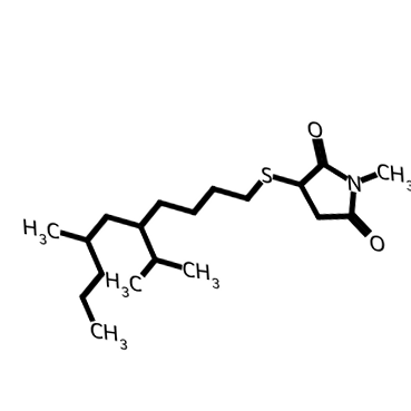 CCCC(C)CC(CCCCSC1CC(=O)N(C)C1=O)C(C)C